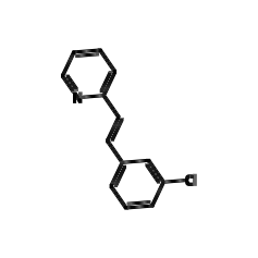 Clc1cccc(C=Cc2ccccn2)c1